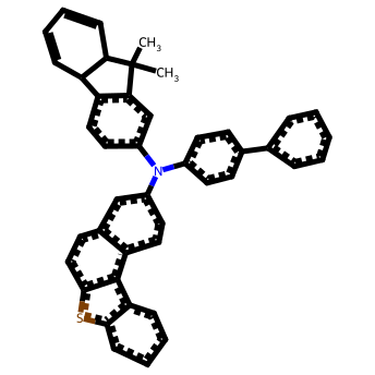 CC1(C)c2cc(N(c3ccc(-c4ccccc4)cc3)c3ccc4c(ccc5sc6ccccc6c54)c3)ccc2C2C=CC=CC21